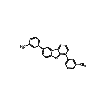 Cc1cccc(-c2ccc3oc4c(-c5cccc(C)c5)cccc4c3c2)c1